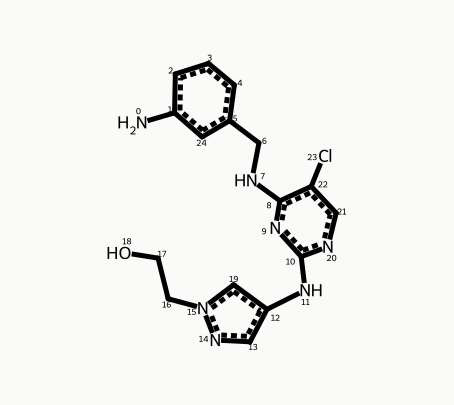 Nc1cccc(CNc2nc(Nc3cnn(CCO)c3)ncc2Cl)c1